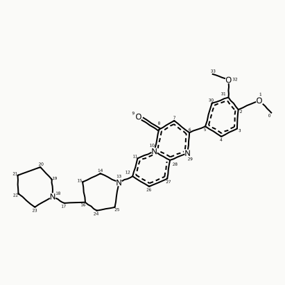 COc1ccc(-c2cc(=O)n3cc(N4CCC(CN5CCCCC5)CC4)ccc3n2)cc1OC